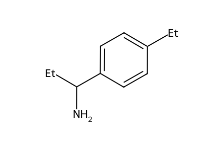 CCc1ccc(C(N)CC)cc1